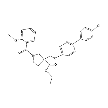 CCOC(=O)C1(COc2ccc(-c3ccc(Cl)cc3)nc2)CCN(C(=O)c2ccccc2OC)C1